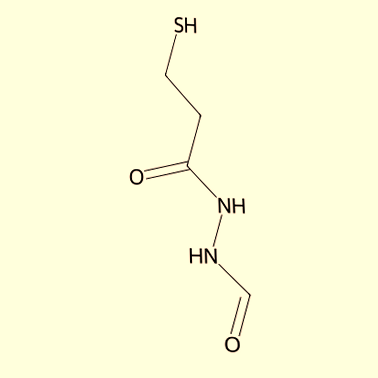 O=CNNC(=O)CCS